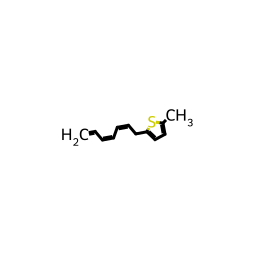 C=C/C=C\C=C/Cc1ccc(C)s1